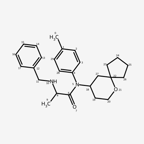 Cc1ccc(N(C(=O)C(C)NCc2ccccc2)C2CCOC3(CCCC3)C2)cc1